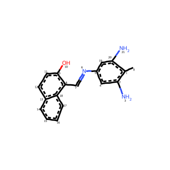 Cc1c(N)cc(/N=C/c2c(O)ccc3ccccc23)cc1N